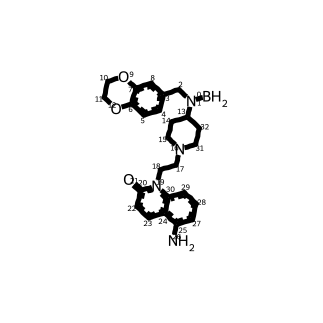 BN(Cc1ccc2c(c1)OCCO2)C1CCN(CCn2c(=O)ccc3c(N)cccc32)CC1